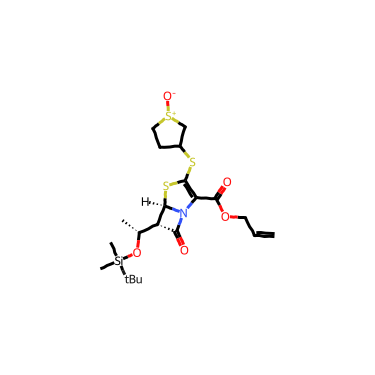 C=CCOC(=O)C1=C(SC2CC[S+]([O-])C2)S[C@@H]2[C@@H]([C@@H](C)O[Si](C)(C)C(C)(C)C)C(=O)N12